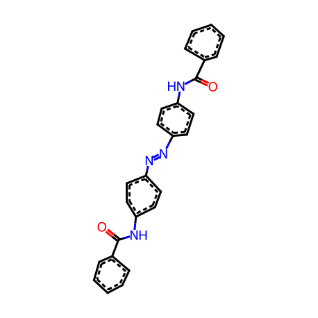 O=C(Nc1ccc(N=Nc2ccc(NC(=O)c3ccccc3)cc2)cc1)c1ccccc1